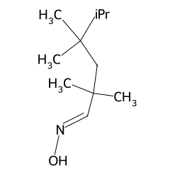 CC(C)C(C)(C)CC(C)(C)C=NO